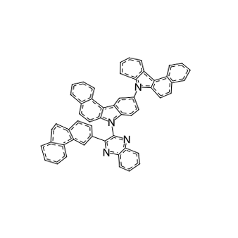 c1ccc2c(c1)ccc1ccc(-c3nc4ccccc4nc3-n3c4ccc(-n5c6ccccc6c6c7ccccc7ccc65)cc4c4c5ccccc5ccc43)cc12